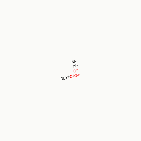 [Nb].[Nb].[O-2].[O-2].[O-2].[Y+3].[Y+3]